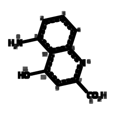 Nc1cccc2nc(C(=O)O)cc(O)c12